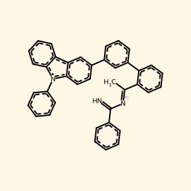 C/C(=N\C(=N)c1ccccc1)c1ccccc1-c1cccc(-c2ccc3c(c2)c2ccccc2n3-c2ccccc2)c1